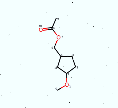 COC1CCC(COC(C)=O)C1